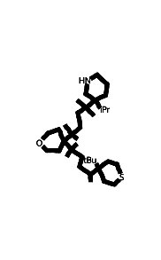 CC(CCC(C)(C)C1(C(C)(C)CCC(C)(C)C2(C(C)C)CCCNC2)CCOCC1)C1(C(C)(C)C)CCSCC1